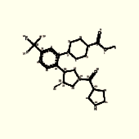 COC(=O)C1CCN(c2cc(C(F)(F)F)ccc2C2CN(C(=O)C3CCNC3)C[C@@H]2C)CC1